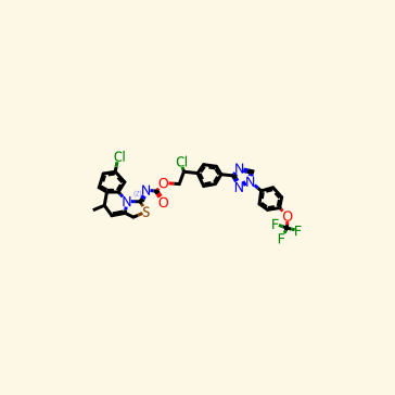 CC1C=C2CS/C(=N\C(=O)OCC(Cl)c3ccc(-c4ncn(-c5ccc(OC(F)(F)F)cc5)n4)cc3)N2c2cc(Cl)ccc21